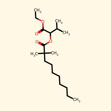 CCCCCCCCC(C)(C)C(=O)OC(C(=O)OCC)C(C)C